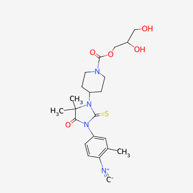 [C-]#[N+]c1ccc(N2C(=O)C(C)(C)N(C3CCN(C(=O)OCC(O)CO)CC3)C2=S)cc1C